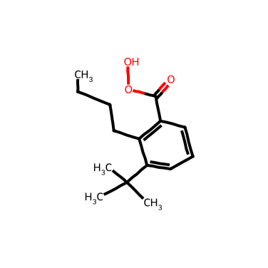 CCCCc1c(C(=O)OO)cccc1C(C)(C)C